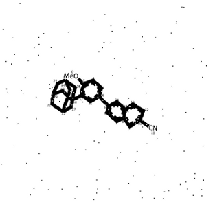 COc1ccc(-c2ccc3cc(C#N)ccc3c2)cc1C12CC3CC(CC(C3)C1)C2